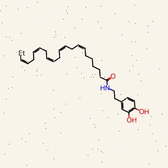 CC/C=C\C/C=C\C/C=C\C/C=C\C/C=C\CCCCCC(=O)NCCc1ccc(O)c(O)c1